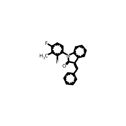 Cc1c(F)ccc(N2C(=O)C(=Cc3ccccc3)c3ccccc32)c1F